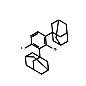 Oc1ccc(C23CC4CC(CC(C4)C2)C3)c(O)c1C12CC3CC(CC(C3)C1)C2